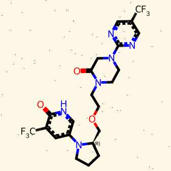 O=C1CN(c2ncc(C(F)(F)F)cn2)CCN1CCOC[C@H]1CCCN1c1c[nH]c(=O)c(C(F)(F)F)c1